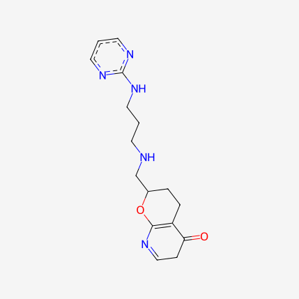 O=C1CC=NC2=C1CCC(CNCCCNc1ncccn1)O2